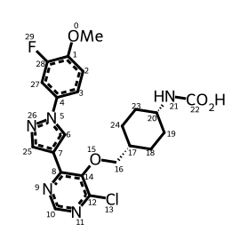 COc1ccc(-n2cc(-c3ncnc(Cl)c3OC[C@H]3CC[C@@H](NC(=O)O)CC3)cn2)cc1F